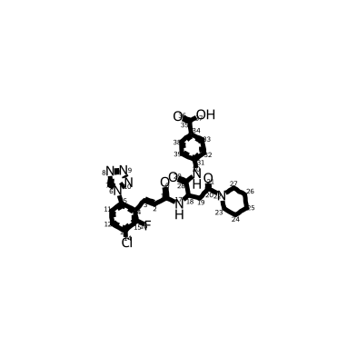 O=C(C=Cc1c(-n2cnnn2)ccc(Cl)c1F)NC(CC(=O)N1CCCCC1)C(=O)Nc1ccc(C(=O)O)cc1